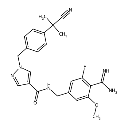 COc1cc(CNC(=O)c2cnn(Cc3ccc(C(C)(C)C#N)cc3)c2)cc(F)c1C(=N)N